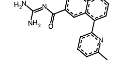 Cc1cccc(-c2cccc3ccc(C(=O)N=C(N)N)cc23)n1